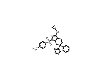 Cc1ccc(S(=O)(=O)n2nc(NC3CC3)c3c2CC(c2ccccc2)(c2cscn2)C=C3)cc1